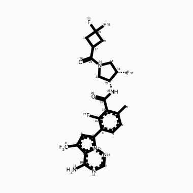 Cc1ccc(-c2cc(C(F)(F)F)c3c(N)ncnn23)c(F)c1C(=O)N[C@@H]1CN(C(=O)C2CC(F)(F)C2)C[C@@H]1F